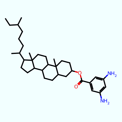 CCC(C)CCCC(C)C1CCC2C3CCC4CC(OC(=O)c5cc(N)cc(N)c5)CCC4(C)C3CCC12C